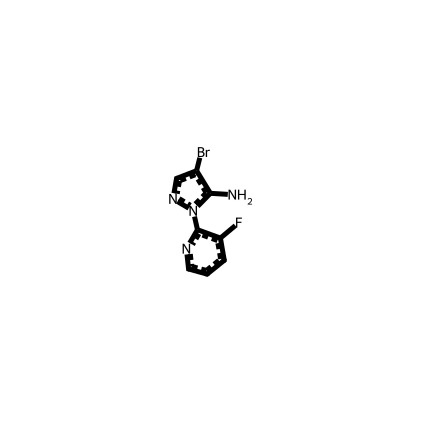 Nc1c(Br)cnn1-c1ncccc1F